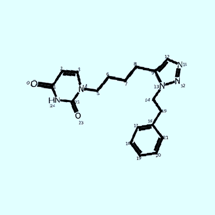 O=c1ccn(CCCCc2cnnn2CCc2ccccc2)c(=O)[nH]1